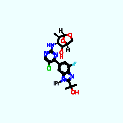 CC(C)n1c(C(C)(C)O)nc2c(F)cc(-c3nc(N[C@@H]4[C@@H](C)[C@H]5OC[C@H](O5)[C@H]4O)ncc3Cl)cc21